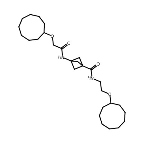 O=C(COC1CCCCCCCC1)NC12CC(C(=O)NCCOC3CCCCCCCC3)(C1)C2